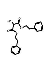 CCCC(C(=O)OCCc1ccccc1)C(=O)OCCc1ccccc1